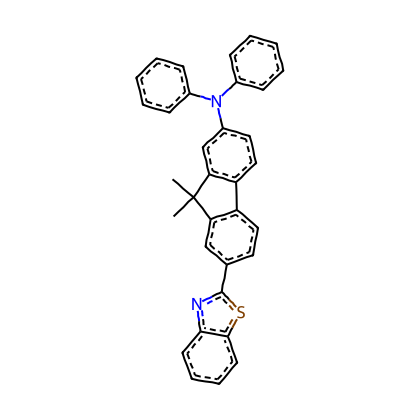 CC1(C)c2cc(-c3nc4ccccc4s3)ccc2-c2ccc(N(c3ccccc3)c3ccccc3)cc21